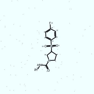 CC(C)NC(=O)N1CCC(S(=O)(=O)c2ccc(F)cc2)C1